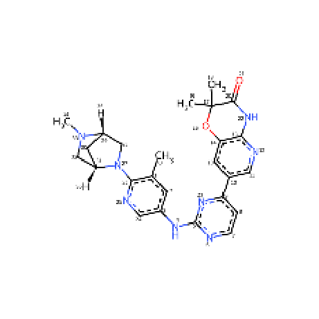 Cc1cc(Nc2nccc(-c3cnc4c(c3)OC(C)(C)C(=O)N4)n2)cnc1N1C[C@@H]2C[C@H]1CN2C